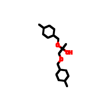 CC1CCC(COCC(C)(O)OCC2CCC(C)CC2)CC1